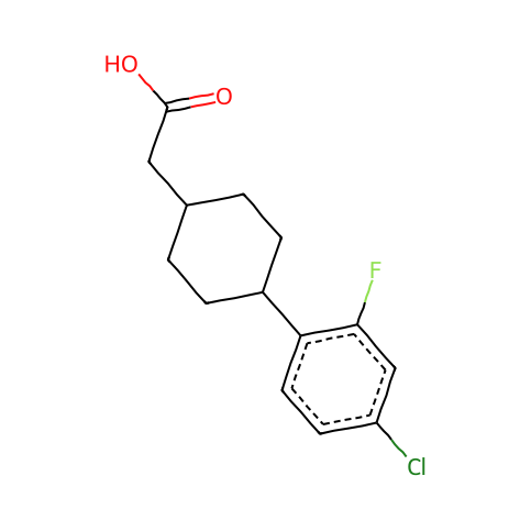 O=C(O)CC1CCC(c2ccc(Cl)cc2F)CC1